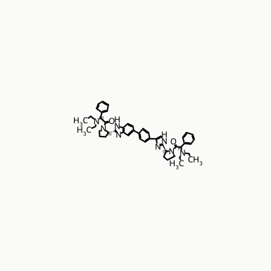 CCN(CC)[C@@H](C(=O)N1CCC[C@H]1c1nc(-c2ccc(-c3ccc4[nH]c([C@@H]5CCCN5C(=O)[C@@H](c5ccccc5)N(CC)CC)nc4c3)cc2)c[nH]1)c1ccccc1